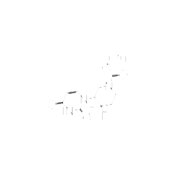 CC(C)(C)OC(=O)N1CCC(F)(F)C(n2ccc(=O)[nH]c2=O)C1